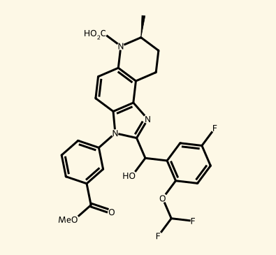 COC(=O)c1cccc(-n2c(C(O)c3cc(F)ccc3OC(F)F)nc3c4c(ccc32)N(C(=O)O)[C@@H](C)CC4)c1